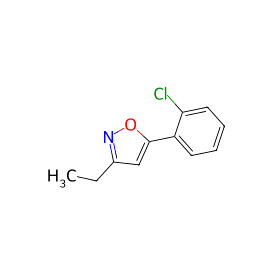 CCc1cc(-c2ccccc2Cl)on1